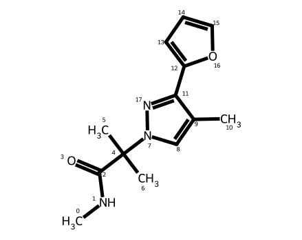 CNC(=O)C(C)(C)n1cc(C)c(-c2ccco2)n1